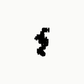 CC(C)(C)c1cc(NC(=O)N[C@H]2CC[C@@H](Oc3ccc4nnc(N5CCCCC5)n4c3)c3ccccc32)n(-c2cn(CCO)cn2)n1